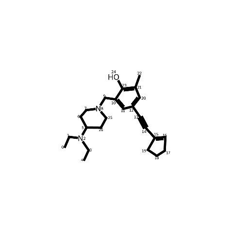 CCN(CC)C1CCN(Cc2cc(C#CC3=CCCC3)cc(C)c2O)CC1